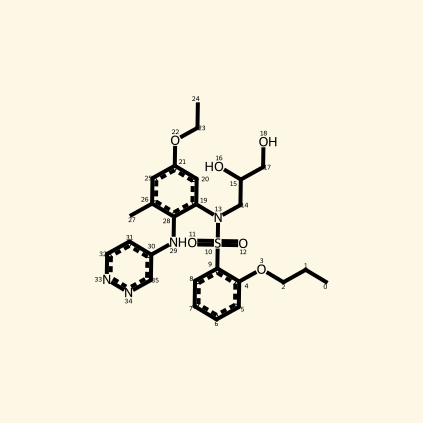 CCCOc1ccccc1S(=O)(=O)N(CC(O)CO)c1cc(OCC)cc(C)c1Nc1ccnnc1